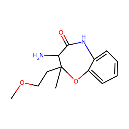 COCCC1(C)Oc2ccccc2NC(=O)C1N